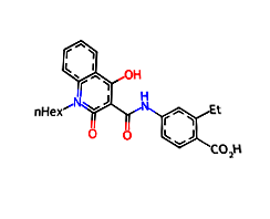 CCCCCCn1c(=O)c(C(=O)Nc2ccc(C(=O)O)c(CC)c2)c(O)c2ccccc21